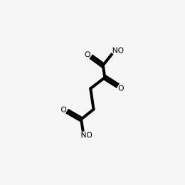 O=NC(=O)CCC(=O)C(=O)N=O